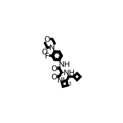 NC(=O)[C@@H](NC(C1CCC1)C1CCC1)C(=O)Nc1ccc(N2CCOCC2=O)c(F)c1